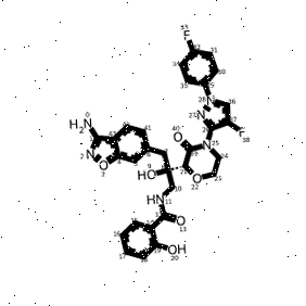 Nc1noc2cc(CC(O)(CNC(=O)c3ccccc3O)[C@H]3OCCN(c4nn(-c5ccc(F)cc5)cc4F)C3=O)ccc12